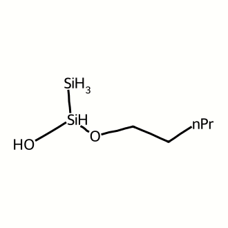 CCCCCO[SiH](O)[SiH3]